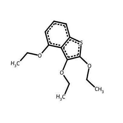 CCOc1sc2cccc(OCC)c2c1OCC